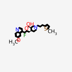 COc1ccc2nccc([C@H](F)CC[C@@H]3CCN(CCCc4ccc(C)s4)C[C@@H]3C(=O)O)c2c1